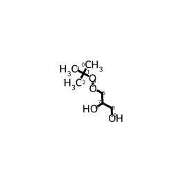 CC(C)(C)OOCC(O)CO